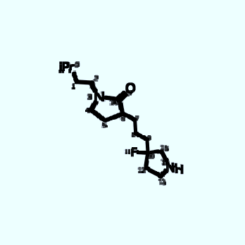 CC(C)CCN1CCC(CCCC2(F)CCNC2)C1=O